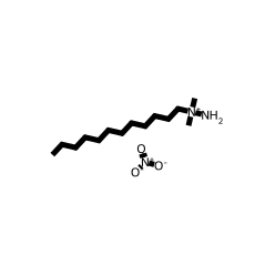 CCCCCCCCCCCC[N+](C)(C)N.O=[N+]([O-])[O-]